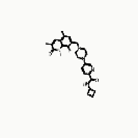 Cc1cc2c(C)cc(CN3CCN(c4ccc(C(=O)NC5CCC5)nc4)CC3)c(F)c2[nH]c1=O